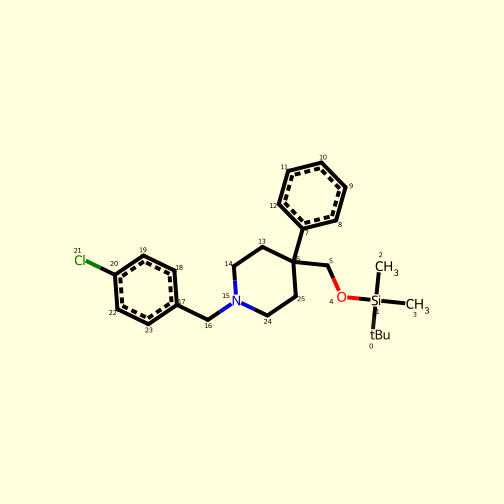 CC(C)(C)[Si](C)(C)OCC1(c2ccccc2)CCN(Cc2ccc(Cl)cc2)CC1